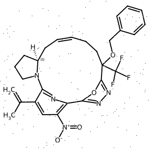 C=C(C)c1cc([N+](=O)[O-])c2nc1N1CCC[C@H]1CC=CCCC(OCc1ccccc1)(C(F)(F)F)c1nnc-2o1